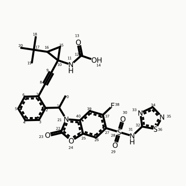 CC(c1ccccc1C#CC1(NC(=O)O)CC1C(C)(C)C)n1c(=O)oc2cc(S(=O)(=O)Nc3ncns3)c(F)cc21